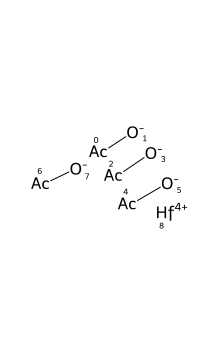 CC(=O)[O-].CC(=O)[O-].CC(=O)[O-].CC(=O)[O-].[Hf+4]